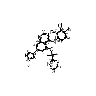 Cn1cc(-c2cc(OC(C)(C)c3ncccn3)c3c(Nc4ccc(F)c(Cl)c4F)ncnc3c2)cn1